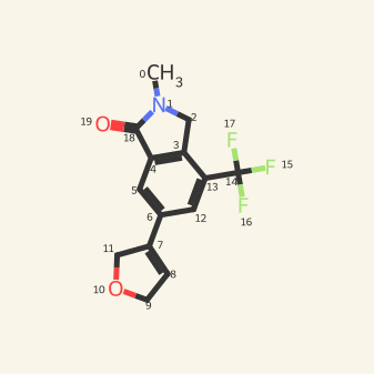 CN1Cc2c(cc(C3=CCOC3)cc2C(F)(F)F)C1=O